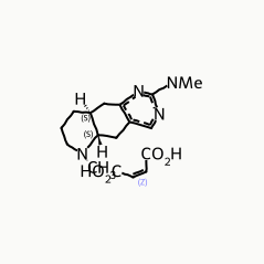 CNc1ncc2c(n1)C[C@@H]1CCCN(C)[C@H]1C2.O=C(O)/C=C\C(=O)O